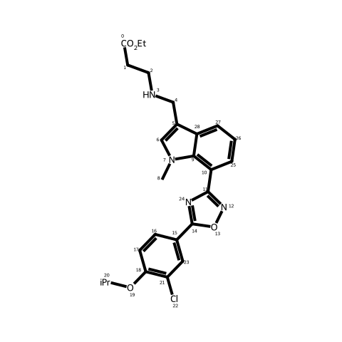 CCOC(=O)CCNCc1cn(C)c2c(-c3noc(-c4ccc(OC(C)C)c(Cl)c4)n3)cccc12